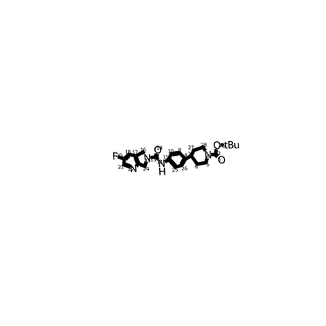 CC(C)(C)OC(=O)N1CCC(c2ccc(NC(=O)N3Cc4cc(F)cnc4C3)cc2)CC1